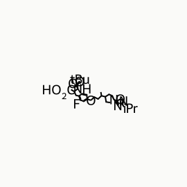 CC(C)c1noc(N2CCC(C(C)CCOc3ccc(CC(NC(=O)OC(C)(C)C)C(=O)O)c(F)c3)CC2)n1